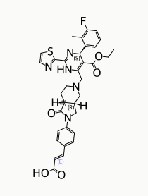 CCOC(=O)C1=C(CN2CC[C@H]3C(=O)N(c4ccc(/C=C/C(=O)O)cc4)C[C@H]3C2)NC(c2nccs2)=N[C@H]1c1cccc(F)c1C